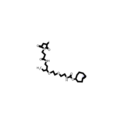 CCC(CCNC(=O)CCN1C(=O)CC(I)C1=O)OCCOCCNC(=O)OC1CC/C=C/CCC1